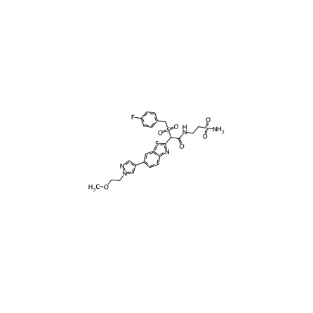 COCCn1cc(-c2ccc3nc(C(C(=O)NCCS(N)(=O)=O)S(=O)(=O)Cc4ccc(F)cc4)sc3c2)cn1